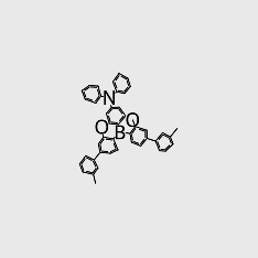 Cc1cccc(-c2ccc3c(c2)Oc2cc(N(c4ccccc4)c4ccccc4)cc4c2B3c2ccc(-c3cccc(C)c3)cc2O4)c1